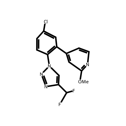 COc1cc(-c2cc(Cl)ccc2-n2cc(C(F)F)nn2)ccn1